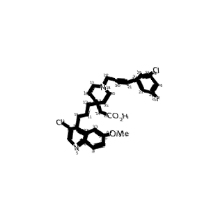 COc1ccc2ncc(Cl)c(CCCC3(CC(=O)O)CCN(CC#Cc4cc(F)cc(Cl)c4)CC3)c2c1